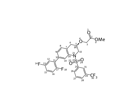 COC(=O)CO[C@@H]1Cc2ccc(-c3cc(F)ccc3F)cc2N(S(=O)(=O)c2cccc(C(F)(F)F)c2)C1